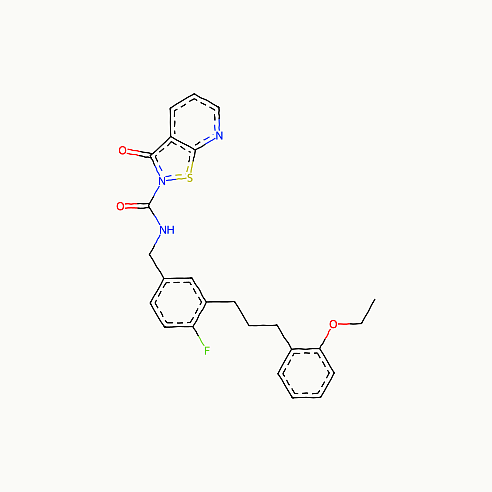 CCOc1ccccc1CCCc1cc(CNC(=O)n2sc3ncccc3c2=O)ccc1F